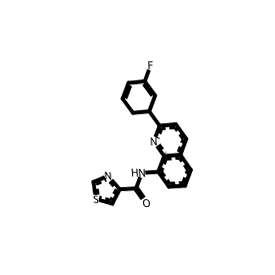 O=C(Nc1cccc2ccc(C3C=C(F)C=CC3)nc12)c1cscn1